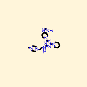 CN1CCN(CCNc2nc(N3CCCCC3)nc(N3CCc4nc[nH]c4C3)n2)CC1